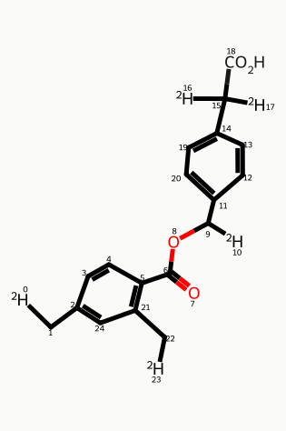 [2H]Cc1ccc(C(=O)OC([2H])c2ccc(C([2H])([2H])C(=O)O)cc2)c(C[2H])c1